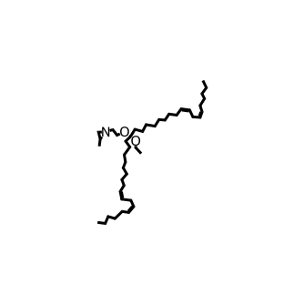 CCCCC/C=C\C/C=C\CCCCCCCCC(CCCCCCCC/C=C\C/C=C\CCCCC)(OCC)OCCN1CC1C